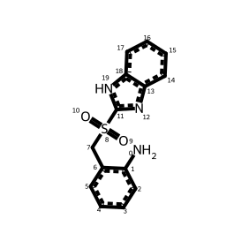 Nc1ccccc1CS(=O)(=O)c1nc2ccccc2[nH]1